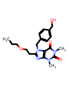 CCCOCCc1nc2c(c(=O)n(C)c(=O)n2C)n1Cc1ccc(CO)cc1